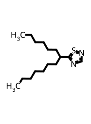 CCCCCCCC(CCCCCC)c1ncns1